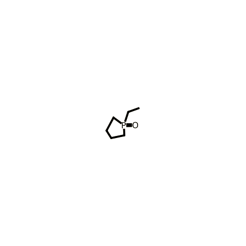 CCP1(=O)CCCC1